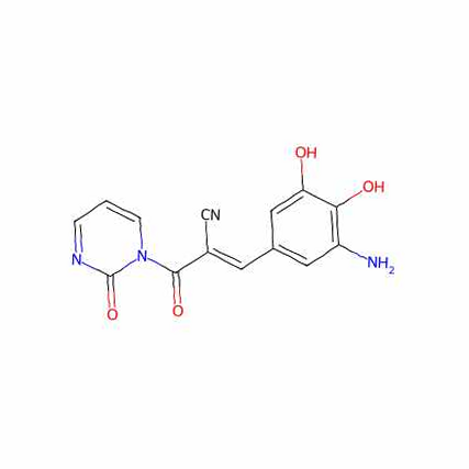 N#C/C(=C\c1cc(N)c(O)c(O)c1)C(=O)n1cccnc1=O